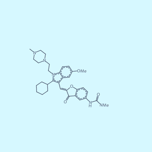 CNC(=O)Nc1ccc2c(c1)C(=O)C(=Cc1c(C3CCCCC3)n(CCN3CCN(C)CC3)c3ccc(OC)cc13)O2